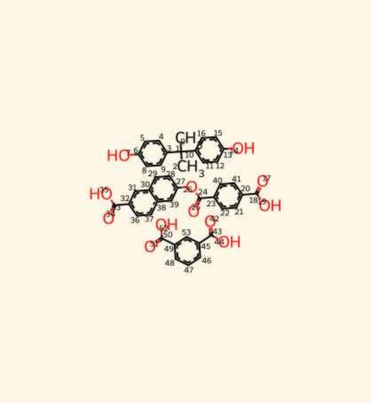 CC(C)(c1ccc(O)cc1)c1ccc(O)cc1.O=C(O)c1ccc(C(=O)Oc2ccc3cc(C(=O)O)ccc3c2)cc1.O=C(O)c1cccc(C(=O)O)c1